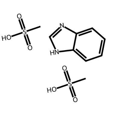 CS(=O)(=O)O.CS(=O)(=O)O.c1ccc2[nH]cnc2c1